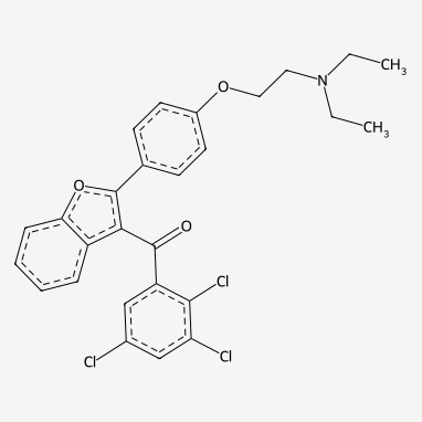 CCN(CC)CCOc1ccc(-c2oc3ccccc3c2C(=O)c2cc(Cl)cc(Cl)c2Cl)cc1